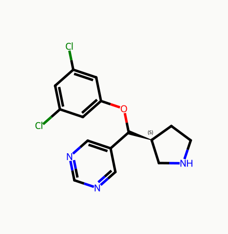 Clc1cc(Cl)cc(OC(c2cncnc2)[C@H]2CCNC2)c1